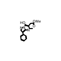 COC(=O)Cc1c(C)nc2c(-c3ccccc3)cnn2c1O